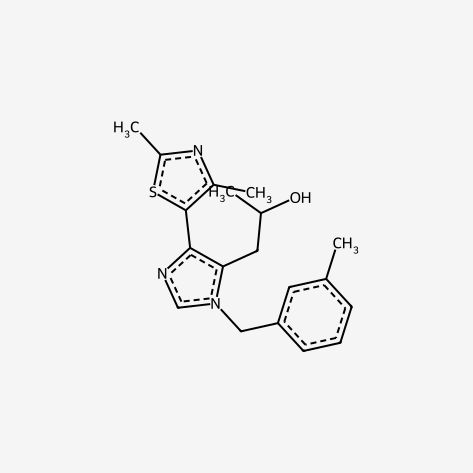 Cc1cccc(Cn2cnc(-c3sc(C)nc3C)c2CC(C)O)c1